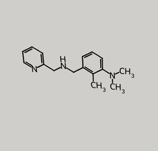 Cc1c(CNCc2ccccn2)cccc1N(C)C